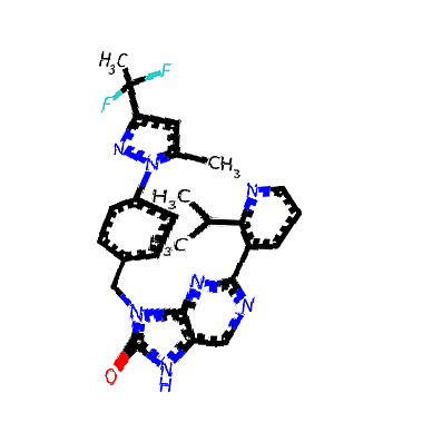 Cc1cc(C(C)(F)F)nn1-c1ccc(Cn2c(=O)[nH]c3cnc(-c4cccnc4C(C)C)nc32)cc1